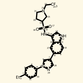 CCc1ccc(-n2cc(-c3ccc4[nH]cc(NS(=O)(=O)C5CCN(CC(F)(F)F)C5)c4c3)cn2)cc1